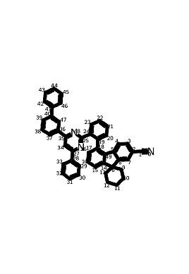 N#Cc1ccc2c(c1)C1(CCCCC1)c1cccc(-c3ccccc3-c3nc(-c4ccccc4)cc(-c4cccc(-c5ccccc5)c4)n3)c1-2